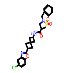 O=C(NC1CC2(C1)CC(c1nc3cc(Cl)ccc3o1)C2)C1CN(Cc2ccccc2)S(=O)(=O)C1